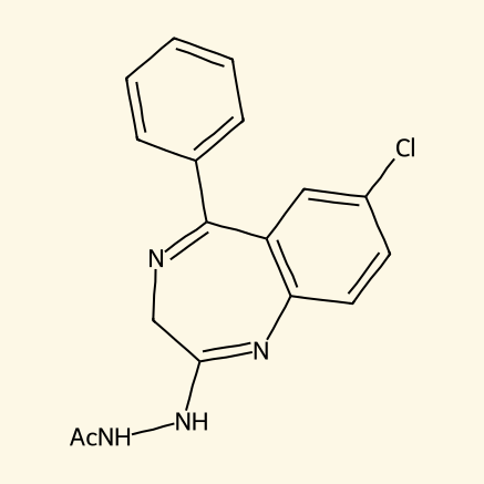 CC(=O)NNC1=Nc2ccc(Cl)cc2C(c2ccccc2)=NC1